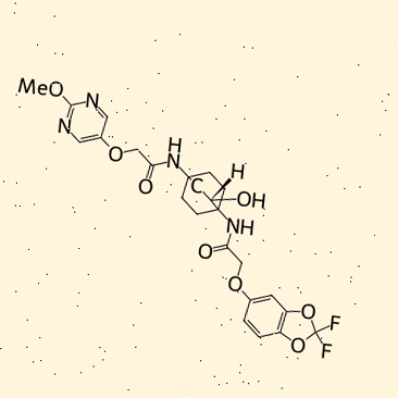 COc1ncc(OCC(=O)NC23CCC(NC(=O)COc4ccc5c(c4)OC(F)(F)O5)(CC2)[C@@H](O)C3)cn1